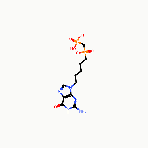 Nc1nc2c(ncn2CCCCCP(=O)(O)CP(=O)(O)O)c(=O)[nH]1